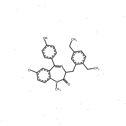 CCc1ccc(CC)c(CC2N=C(c3ccc(O)cc3)c3cc(Cl)ccc3N(C)C2=O)c1